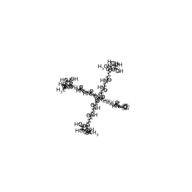 CC(=O)NC1C(OCCCCC(=O)NCCCNC(=O)CCOCC(COCCC(=O)NCCCNC(=O)CCCCOC2OC(CO)C(O)C(O)C2NC(C)=O)(COCCC(=O)NCCCNC(=O)CCCCOC2OC(CO)C(O)C(O)C2NC(C)=O)NC(=O)CCCCCCCC(=O)NCCc2ccccc2)OC(CO)C(O)C1O